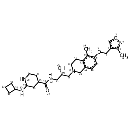 Cc1nocc1COc1ccc2c(c1C)CCN(C[C@@H](O)CNC(=O)C1CCNC(NC3CCC3)C1)C2